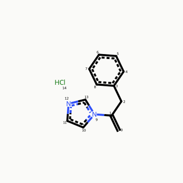 C=C(Cc1ccccc1)n1ccnc1.Cl